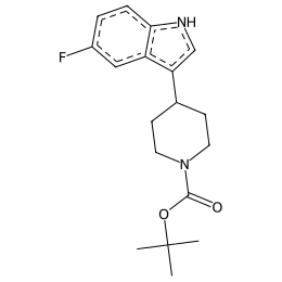 CC(C)(C)OC(=O)N1CCC(c2c[nH]c3ccc(F)cc23)CC1